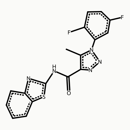 Cc1c(C(=O)Nc2nc3ccccc3s2)nnn1-c1cc(F)ccc1F